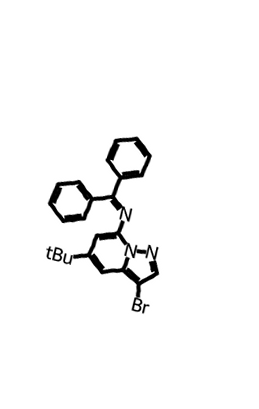 CC(C)(C)c1cc(N=C(c2ccccc2)c2ccccc2)n2ncc(Br)c2c1